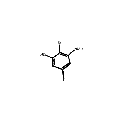 CCc1cc(O)c(Br)c(NC)c1